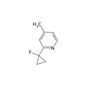 Cc1ccnc(C2(F)CC2)c1